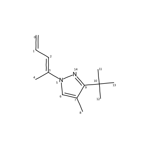 C=C/C=C(\C)n1cc(C)c(C(C)(C)C)n1